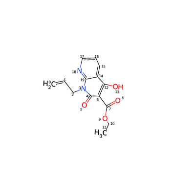 C=CCn1c(=O)c(C(=O)OCC)c(O)c2cccnc21